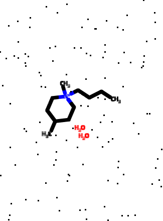 CCCC[N+]1(C)CCC(C)CC1.O.O